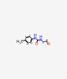 Cc1ccc(NC(=O)NC[C]=O)cc1